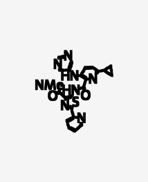 CNC(=O)c1nc(-c2ccccn2)sc1NC(=O)c1nc(C2CC2)ccc1Nc1cncnc1